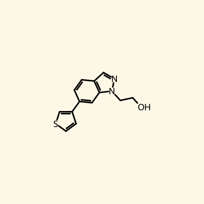 OCCn1ncc2ccc(-c3ccsc3)cc21